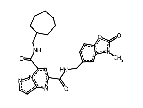 Cn1c(=O)oc2ccc(CNC(=O)c3cc(C(=O)NCC4CCCCCC4)n4nccc4n3)cc21